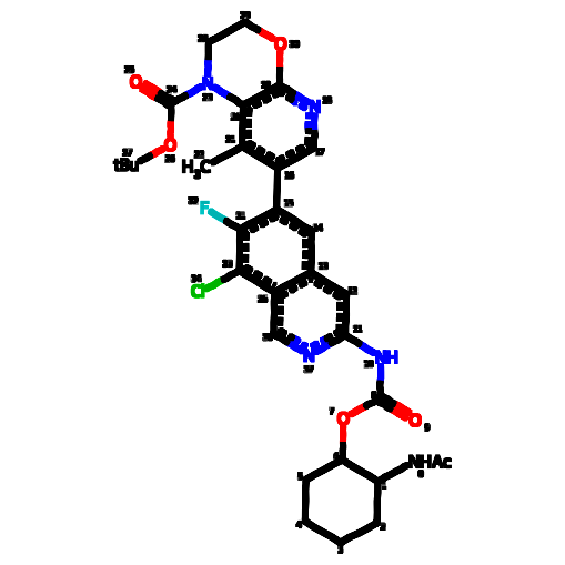 CC(=O)NC1CCCCC1OC(=O)Nc1cc2cc(-c3cnc4c(c3C)N(C(=O)OC(C)(C)C)CCO4)c(F)c(Cl)c2cn1